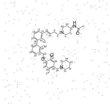 CC(=O)NC1CCN(CC/C=C/c2cccc(-c3cccc(COc4cc(C)c(CN5CCCCC5)cc4Cl)c3C)c2C)CC1